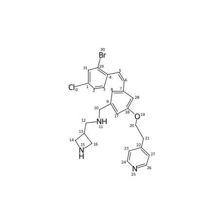 Clc1ccc(/C=C\c2cc(CNCC3CNC3)cc(OCCc3ccncc3)c2)c(Br)c1